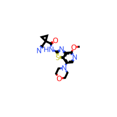 COc1ncc(N2CCOCC2)c2sc(NC(=O)C3(C#N)CC3)nc12